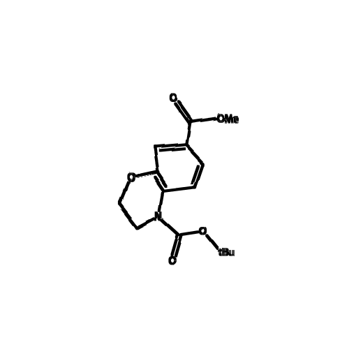 COC(=O)c1ccc2c(c1)OCCN2C(=O)OC(C)(C)C